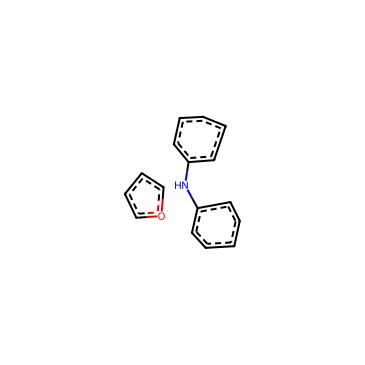 c1ccc(Nc2ccccc2)cc1.c1ccoc1